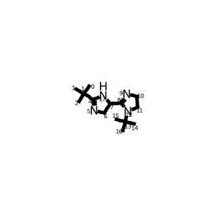 CC(C)(C)C1=NCC(C2=NCCN2C(C)(C)C)N1